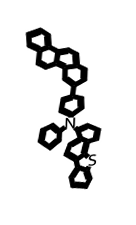 c1ccc(N(c2ccc(-c3ccc4ccc5c6ccccc6ccc5c4c3)cc2)c2cccc3c2ccc2c4ccccc4sc32)cc1